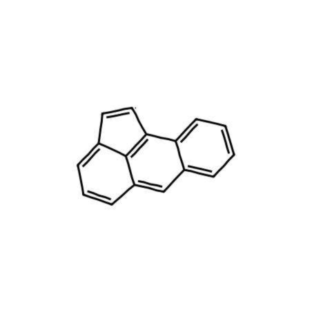 [C]1=Cc2cccc3cc4ccccc4c1c23